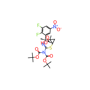 CC(C)(C)OC(=O)N(C(=O)OC(C)(C)C)C1=N[C@](C)(c2cc([N+](=O)[O-])cc(F)c2F)C2(C)C[C@]2(C(=O)O)S1